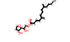 CC(C)CCCC(C)CCCC(C)CCCC(=O)OCC(O)C1OCC[C@H]1O